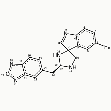 Fc1ccc2c(c1)C1(C=N2)CN[C@@H](Cc2ccc3nonc3c2)N1